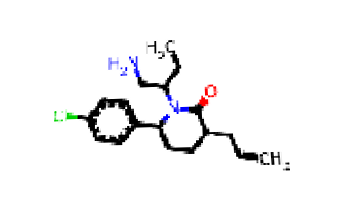 C=CC[C@H]1CCC(c2ccc(Cl)cc2)N(C(CC)CN)C1=O